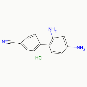 Cl.N#Cc1ccc(-c2ccc(N)cc2N)cc1